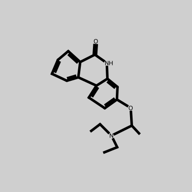 CCN(CC)C(C)Oc1ccc2c(c1)[nH]c(=O)c1ccccc12